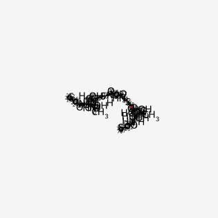 CC(=O)N[C@H]1[C@H]([C@H](O)[C@H](O)CNC(=O)c2ccc(-c3cccs3)cc2)O[C@@](OCCCSCCNC(=O)c2ccc(C(=O)NCCSCCCO[C@]3(C(=O)O)C[C@H](O)[C@@H](NC(C)=O)[C@H]([C@H](O)[C@@H](O)CNC(=O)c4ccc(-c5cccs5)cc4)O3)cc2)(C(=O)O)C[C@@H]1O